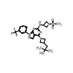 CC(C)(O)CC1CN(c2nc(NC3CN(S(C)(=O)=O)C3)nc3c2cnn3-c2cccc(C(F)(F)F)c2)C1